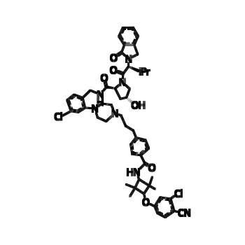 CC(C)[C@@H](C(=O)N1C[C@H](O)C[C@H]1C(=O)NCc1ccc(Cl)cc1N1CCN(CCCc2ccc(C(=O)NC3C(C)(C)C(Oc4ccc(C#N)c(Cl)c4)C3(C)C)cc2)CC1)N1Cc2ccccc2C1=O